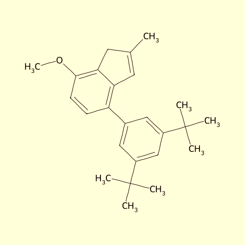 COc1ccc(-c2cc(C(C)(C)C)cc(C(C)(C)C)c2)c2c1CC(C)=C2